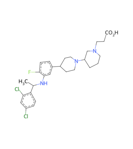 CC(Nc1cc(C2CCN(C3CCCN(CCC(=O)O)C3)CC2)ccc1F)c1ccc(Cl)cc1Cl